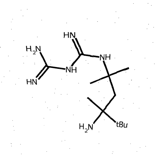 CC(C)(CC(C)(N)C(C)(C)C)NC(=N)NC(=N)N